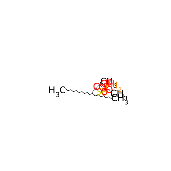 CCCCCCCCCCCC(CCCCCCCC)CC(S)OC(CC)OC(O)([PH2]=O)C(=O)OCC